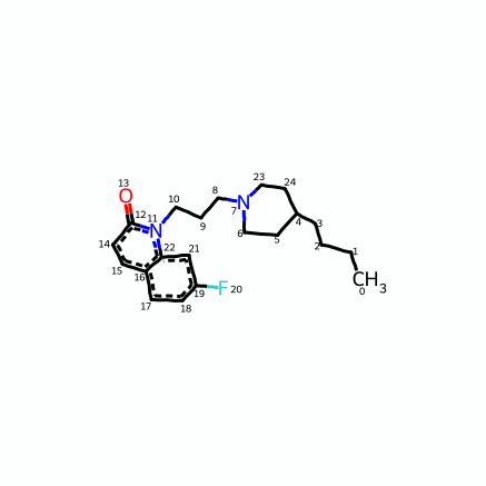 CCCCC1CCN(CCCn2c(=O)ccc3ccc(F)cc32)CC1